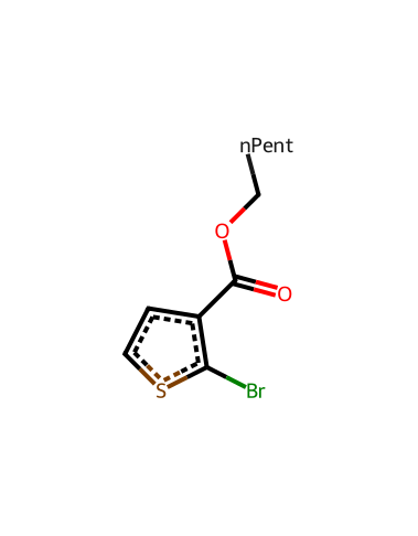 CCCCCCOC(=O)c1ccsc1Br